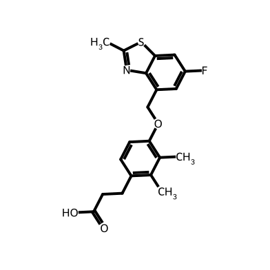 Cc1nc2c(COc3ccc(CCC(=O)O)c(C)c3C)cc(F)cc2s1